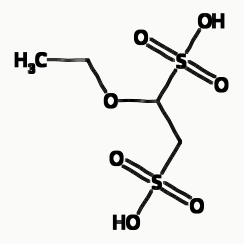 CCOC(CS(=O)(=O)O)S(=O)(=O)O